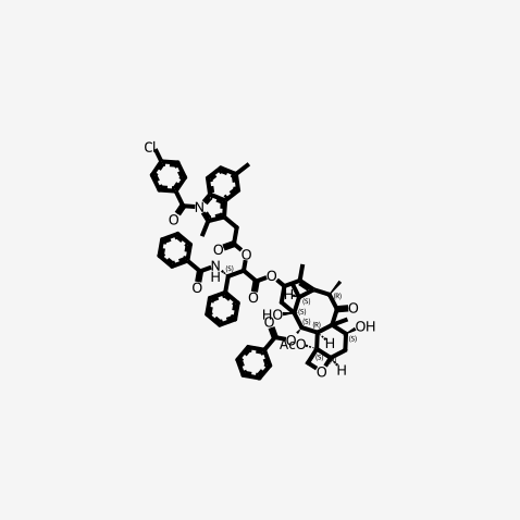 CC(=O)O[C@@]12CO[C@@H]1C[C@H](O)C1(C)C(=O)[C@H](C)C3=C(C)C(OC(=O)C(OC(=O)Cc4c(C)n(C(=O)c5ccc(Cl)cc5)c5ccc(C)cc45)[C@@H](NC(=O)c4ccccc4)c4ccccc4)C[C@](O)([C@H]3C)[C@@H](OC(=O)c3ccccc3)[C@@H]12